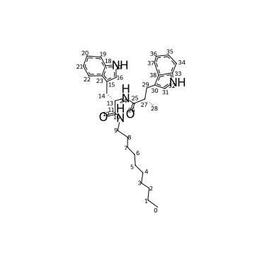 CCCCCCCCCCNC(=O)[C@H](Cc1c[nH]c2ccccc12)NC(=O)[C@@H](C)Cc1c[nH]c2ccccc12